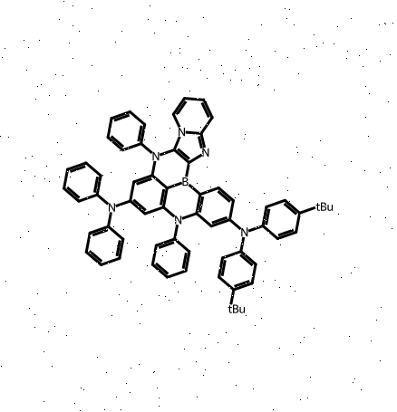 CC(C)(C)c1ccc(N(c2ccc(C(C)(C)C)cc2)c2ccc3c(c2)N(c2ccccc2)c2cc(N(c4ccccc4)c4ccccc4)cc4c2B3c2nc3ccccn3c2N4c2ccccc2)cc1